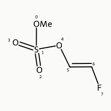 COS(=O)(=O)OC=CF